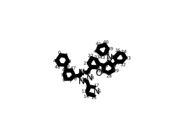 c1ccc(-c2cccc(-c3nc(-c4cccnc4)nc(-c4cccc5c4oc4ccc6c7ccccc7n(-c7ccccc7)c6c45)n3)c2)cc1